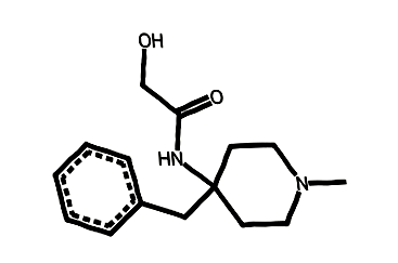 CN1CCC(Cc2ccccc2)(NC(=O)CO)CC1